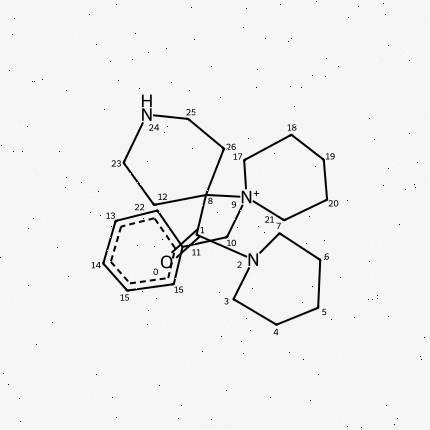 O=C(N1CCCCC1)C1([N+]2(Cc3ccccc3)CCCCC2)CCNCC1